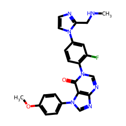 CNCc1nccn1-c1ccc(-n2cnc3ncn(-c4ccc(OC)cc4)c3c2=O)c(F)c1